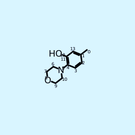 Cc1ccc(N2CCOCC2)c(O)c1